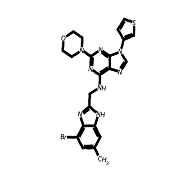 Cc1cc(Br)c2nc(CNc3nc(N4CCOCC4)nc4c3ncn4-c3ccsc3)[nH]c2c1